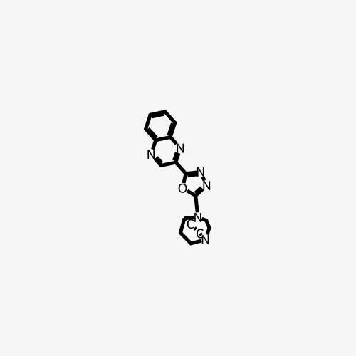 c1ccc2nc(-c3nnc(N4CCN5CCC4CC5)o3)cnc2c1